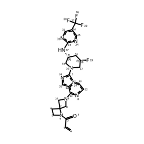 C=CC(=O)N1CCC12CN(c1nccn3c(N4C[C@H](F)C[C@@H](Nc5ncc(C(F)(F)F)cn5)C4)ncc13)C2